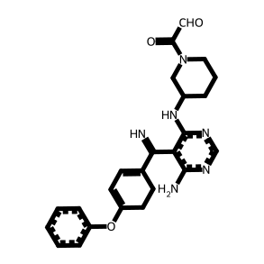 N=C(C1=CC=C(Oc2ccccc2)CC1)c1c(N)ncnc1NC1CCCN(C(=O)C=O)C1